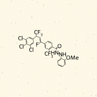 COc1ccccc1NNC(=O)c1ccc(/C(F)=C/C(c2cc(Cl)c(Cl)c(Cl)c2)C(F)(F)F)cc1C(F)(F)F